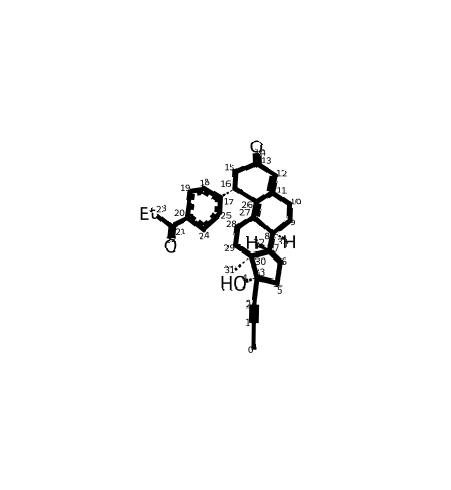 CC#C[C@]1(O)CC[C@H]2[C@@H]3CCC4=CC(=O)C[C@@H](c5ccc(C(=O)CC)cc5)C4=C3CC[C@@]21C